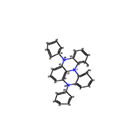 Cc1cccc2c1N1c3c(C)cccc3N(c3ccccc3)c3cccc(c31)N2c1ccccc1